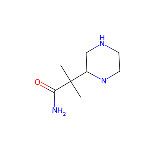 CC(C)(C(N)=O)C1CNCC[N]1